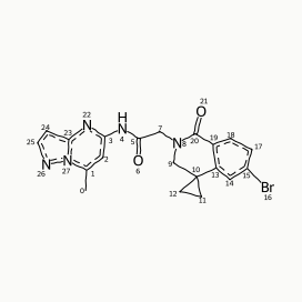 Cc1cc(NC(=O)CN2CC3(CC3)c3cc(Br)ccc3C2=O)nc2ccnn12